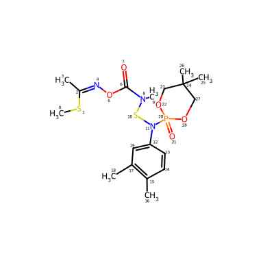 CSC(C)=NOC(=O)N(C)SN(c1ccc(C)c(C)c1)P1(=O)OCC(C)(C)CO1